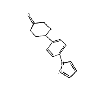 O=C1CCC(c2ccc(-n3cccn3)cc2)CC1